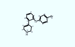 Brc1ccc(Sc2ccccc2C2=CCNCC2)cc1